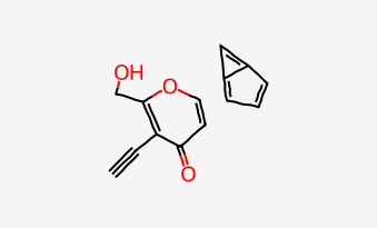 C#Cc1c(CO)occc1=O.c1cc2cc-2c1